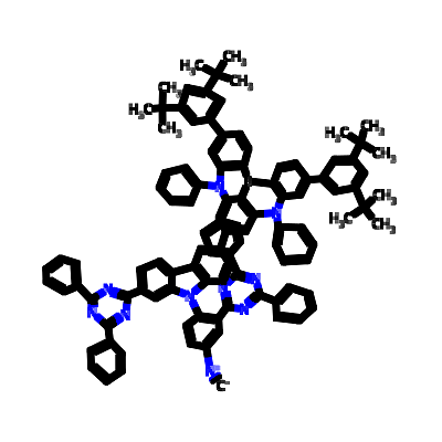 [C-]#[N+]c1ccc(-n2c3ccc(-c4cc5c6c(c4)N(c4ccccc4)c4cc(-c7cc(C(C)(C)C)cc(C(C)(C)C)c7)ccc4B6c4ccc(-c6cc(C(C)(C)C)cc(C(C)(C)C)c6)cc4N5c4ccccc4)cc3c3ccc(-c4nc(-c5ccccc5)nc(-c5ccccc5)n4)cc32)c(-c2nc(-c3ccccc3)nc(-c3ccccc3)n2)c1